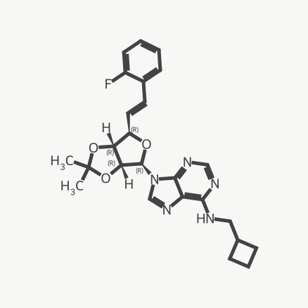 CC1(C)O[C@@H]2[C@H](O1)[C@@H](C=Cc1ccccc1F)O[C@H]2n1cnc2c(NCC3CCC3)ncnc21